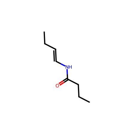 CC/C=C/NC(=O)CCC